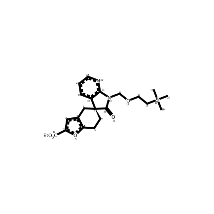 CCOC(=O)c1cc2c(o1)CC[C@]1(C2)C(=O)N(COCC[Si](C)(C)C)c2ncccc21